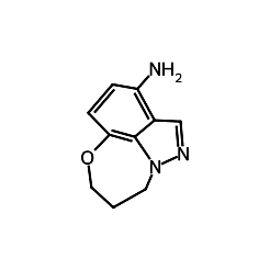 Nc1ccc2c3c1cnn3CCCO2